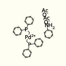 CC(=O)[O-].CC(=O)[O-].Nc1ccccc1.c1ccc(P([CH2][Pd+2][CH2]P(c2ccccc2)c2ccccc2)c2ccccc2)cc1